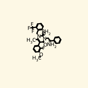 Bc1cccc(C(F)(F)F)c1Cn1c(C)c(-c2cccc(OC)c2F)c(=O)n(C[C@H](N)c2ccccc2)c1=O